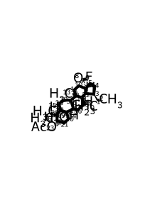 C=C(C)[C@@H]1CC[C@]2(C(=O)F)CC[C@]3(C)[C@H](CC[C@@H]4[C@@]5(C)CC[C@H](OC(C)=O)C(C)(C)[C@@H]5CC[C@]43C)[C@@H]12